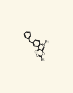 CCC(=O)Oc1cn(CC)c2ccc(Cc3ccccc3)cc2c1=O